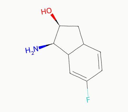 N[C@@H]1C2C=C(F)C=CC2C[C@@H]1O